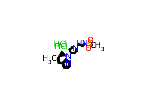 CC(=Cc1ccccc1)C1CC1NC1CCN(CCNS(C)(=O)=O)CC1.Cl.Cl